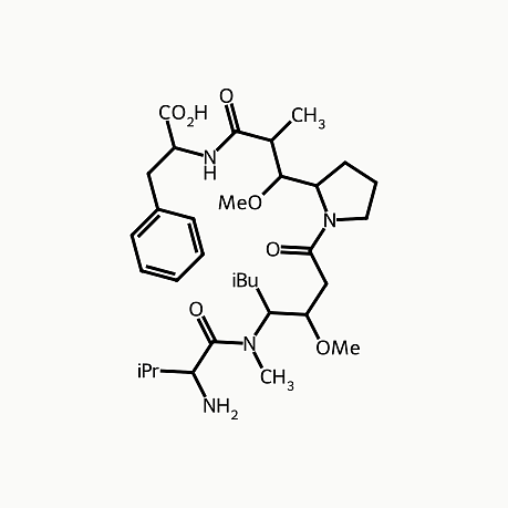 CCC(C)C(C(CC(=O)N1CCCC1C(OC)C(C)C(=O)NC(Cc1ccccc1)C(=O)O)OC)N(C)C(=O)C(N)C(C)C